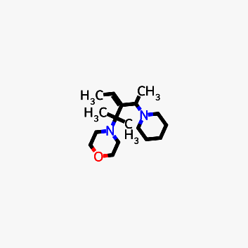 CC=C(C(C)N1CCCCC1)C(C)(C)N1CCOCC1